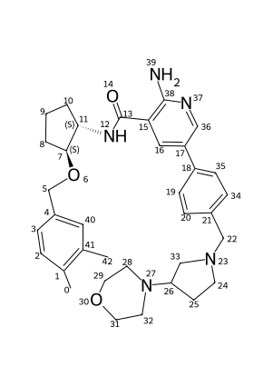 Cc1ccc(CO[C@H]2CCC[C@@H]2NC(=O)c2cc(-c3ccc(CN4CCC(N5CCOCC5)C4)cc3)cnc2N)cc1C